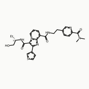 CC[C@@H](CO)NC(=O)c1c(-c2ccsc2)nc2c(C(=O)NCCc3ccc(C(=O)N(C)C)nc3)cccn12